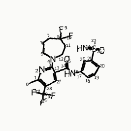 Cc1nc(N2CCCC(F)(F)CC2)c(C(=O)Nc2cccc([S@@](C)(=N)=O)c2)cc1C(F)(F)F